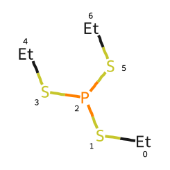 CCSP(SCC)SCC